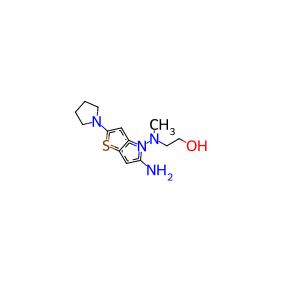 CN(CCO)n1c(N)cc2sc(N3CCCC3)cc21